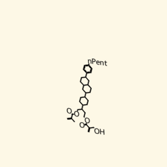 C=C(C)C(=O)OCC(CCOC(=O)C(=C)CO)C1CCC(C2CCC3CC(c4ccc(CCCCC)cc4)CCC3C2)CC1